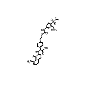 CNCc1cc(NC(=O)OCCc2ccc(C(Nc3ccc4ccnc(N)c4c3F)C(=O)O)cc2)ccc1S(=O)(=O)C(C)C